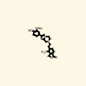 COc1cc(-c2cn3c(n2)CN(CCc2ccc4c(c2C)COC4=O)CC3)ccc1C#N